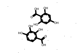 O=C(O)c1c(O)cc(O)cc1O.O=C(O)c1ccc(O)c(O)c1O